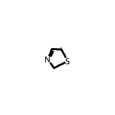 [CH]1C=NCS1